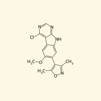 COc1cc2c(cc1-c1c(C)noc1C)[nH]c1ncnc(Cl)c12